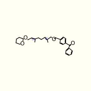 C/C(=C\COC1CCCCO1)CC/C=C(\C)COCc1ccc(C(=O)c2ccccc2)cc1